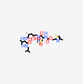 Cc1csc(COC(=O)N[C@@H](CS(C)(=O)=O)C(=O)NC[C@@H](O)C[C@@H](C)C(=O)N[C@@H](C(=O)NCC(C)C)C(C)C)n1